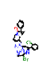 O=C(N1CCCC(CNc2cc(-c3ccccc3Cl)nc3c(Br)cnn23)C1)C1(c2ccccc2)CC1